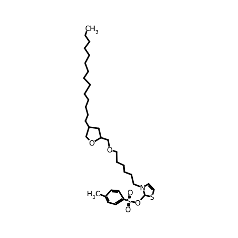 CCCCCCCCCCCCCCC1COC(COCCCCCCN2C=CSC2OS(=O)(=O)c2ccc(C)cc2)C1